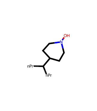 CCCC(CCC)C1CCN(O)CC1